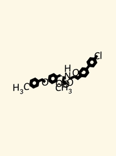 COC(=O)[C@H](Cc1ccc(OCc2ccc(C)cc2)cc1)NC(=O)c1cc2ccc(-c3ccc(Cl)cc3)cc2o1